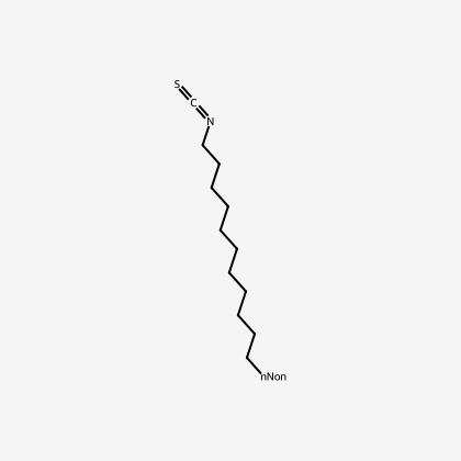 CCCCCCCCCCCCCCCCCCCCN=C=S